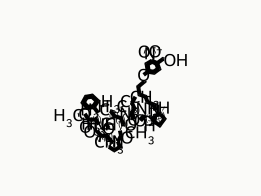 CC[C@H](C)[C@@H]([C@@H](CC(=O)N1CCC[C@H]1[C@H](OC)[C@@H](C)C(=O)N[C@@H](Cc1ccccc1)C(=O)OC)OC)N(C)C(=O)[C@@H](NC(=O)[C@@H]1[C@H]2CC[C@@H](C2)N1CCCCCCOc1ccc(CO)c([N+](=O)[O-])c1)C(C)C